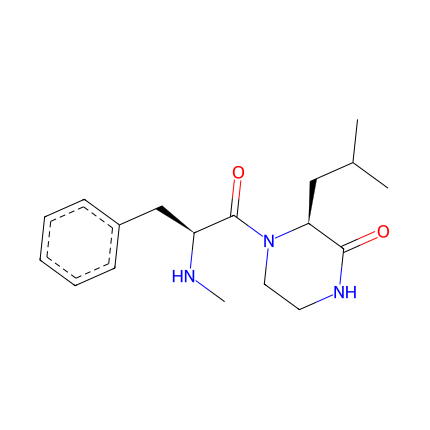 CN[C@@H](Cc1ccccc1)C(=O)N1CCNC(=O)[C@@H]1CC(C)C